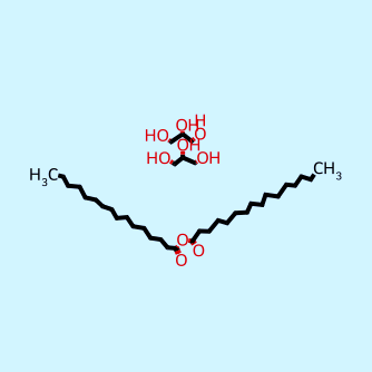 CCCCCCCCCCCCCCCC(=O)OC(=O)CCCCCCCCCCCCCCC.OCC(O)CO.OCC(O)CO